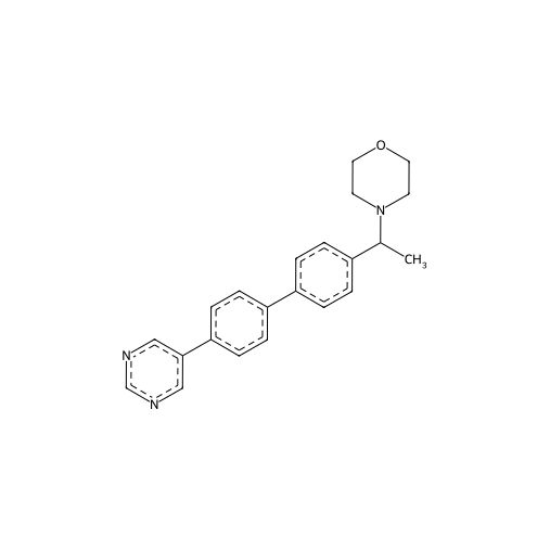 CC(c1ccc(-c2ccc(-c3cncnc3)cc2)cc1)N1CCOCC1